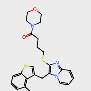 Cc1cccc2scc(Cc3c(SCCCC(=O)N4CCOCC4)nc4ccccn34)c12